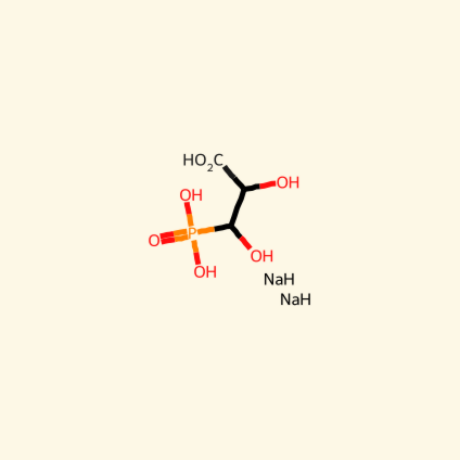 O=C(O)C(O)C(O)P(=O)(O)O.[NaH].[NaH]